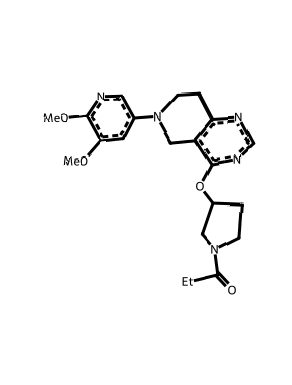 CCC(=O)N1CCC(Oc2ncnc3c2CN(c2cnc(OC)c(OC)c2)CC3)C1